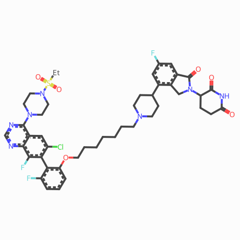 CCS(=O)(=O)N1CCN(c2ncnc3c(F)c(-c4c(F)cccc4OCCCCCCCN4CCC(c5cc(F)cc6c5CN(C5CCC(=O)NC5=O)C6=O)CC4)c(Cl)cc23)CC1